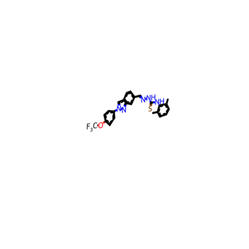 Cc1cccc(C)c1NC(=S)NN=Cc1ccc2cn(-c3ccc(OC(F)(F)F)cc3)nc2c1